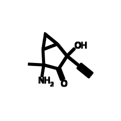 C#CC1(O)C(=O)C(C)(N)C2CC21